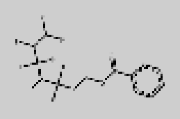 O=C(SCCC(F)(F)C(F)C(F)(F)C(F)C(F)F)c1ccccc1